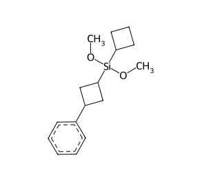 CO[Si](OC)(C1CCC1)C1CC(c2ccccc2)C1